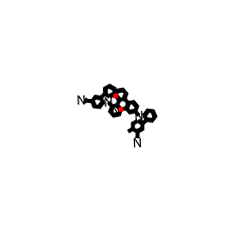 CC1Cc2c(c3ccccc3n2-c2ccc(-c3ccccc3-c3ccccc3-n3c4ccccc4c4cc(C#N)ccc43)c(C#N)c2)C=C1C#N